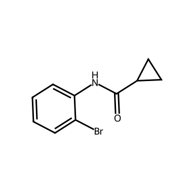 O=C(Nc1ccccc1Br)C1CC1